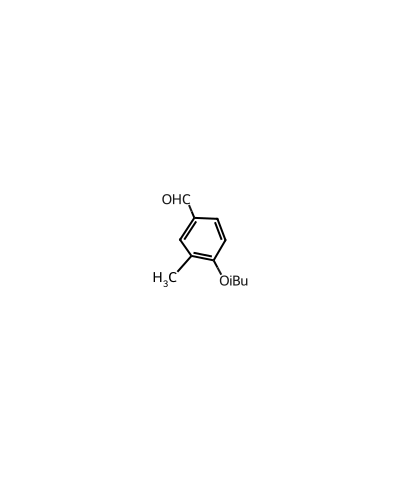 Cc1cc(C=O)ccc1OCC(C)C